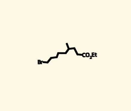 CCOC(=O)CCC(C)CCCCCBr